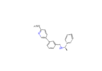 CC(=O)Nc1ccc(-c2cccc(CN[C@H](C)c3ccccc3)c2)cn1